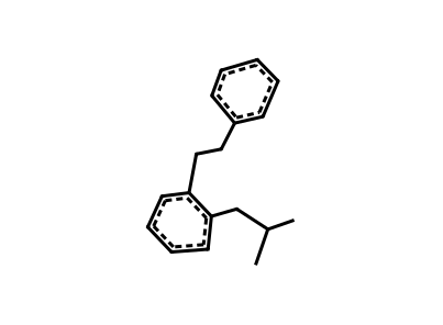 CC(C)Cc1ccccc1CCc1ccccc1